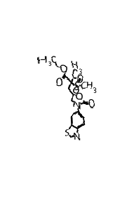 CCOC(=O)C(C)(CC1CN(c2ccc3ncsc3c2)C(=O)O1)S(C)(=O)=O